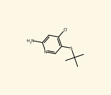 CC(C)(C)Sc1cnc(N)cc1Cl